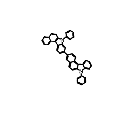 c1ccc(-n2c3ccccc3c3c4ccc(-c5ccc6c7c8ccccc8ccc7n(-c7ccccc7)c6c5)cc4ccc32)cc1